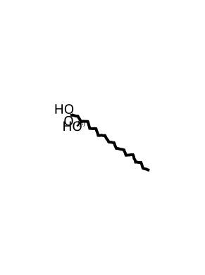 CCCCCCCCCCCCCCC[C@@H](O)CC(=O)O